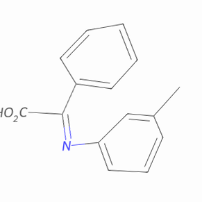 Cc1cccc(N=C(C(=O)O)c2ccccc2)c1